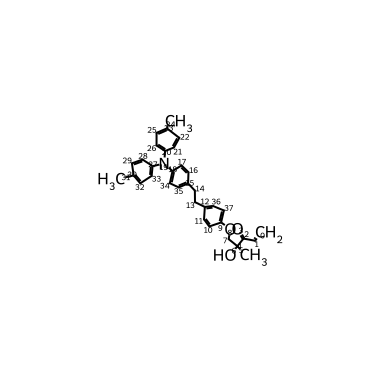 C=CC(=O)C(C)(O)COc1ccc(CCc2ccc(N(c3ccc(C)cc3)c3ccc(C)cc3)cc2)cc1